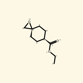 CCOC(=O)[C@H]1CC[C@@]2(CC1)CO2